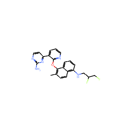 Cc1ccc2c(NCC(F)CF)cccc2c1Oc1ncccc1-c1ccnc(N)n1